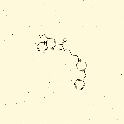 O=C(NCCCN1CCN(Cc2ccccc2)CC1)C1=Cc2cnc3cccc(n23)S1